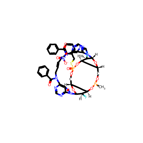 CP1OC[C@H]2O[C@@H]3[C@H](F)[C@@H]2O[P@@](=O)(SCc2ccccc2[N+](=O)[O-])OC[C@H]2OC([C@H](F)[C@@H]2O1)n1cnc2c(ncnc21)N(C(=O)c1ccccc1)C/C=C/CN(C(=O)c1ccccc1)c1ncnc2c1ncn23